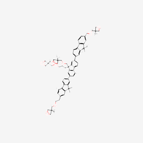 CCC1(COCCCC2(COCC3(CC)COC3)c3cc(-c4ccc5c(c4)C(C)(C)c4cc(CCOCC6(CC)COC6)ccc4-5)ccc3-c3ccc(-c4ccc5c(c4)C(C)(C)c4cc(COCC6(CC)COC6)ccc4-5)cc32)COC1